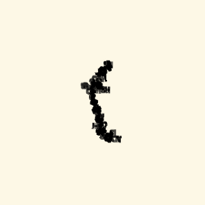 Cc1ncsc1-c1ccc([C@H](C)NC(=O)[C@@H]2C[C@@H](O)CN2C(=O)[C@@H](NC(=O)COC2CC(N3CCN(c4ccc(C(=O)N[C@H]5C(C)(C)[C@H](Oc6ccc(C#N)c(Cl)c6)C5(C)C)cn4)CC3)C2)C(C)(C)C)cc1